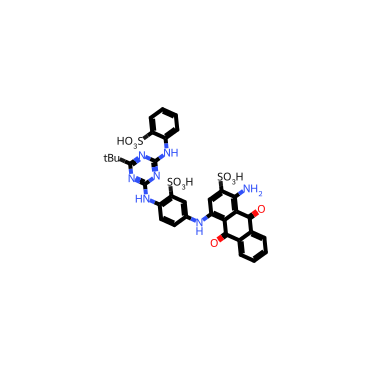 CC(C)(C)c1nc(Nc2ccccc2S(=O)(=O)O)nc(Nc2ccc(Nc3cc(S(=O)(=O)O)c(N)c4c3C(=O)c3ccccc3C4=O)cc2S(=O)(=O)O)n1